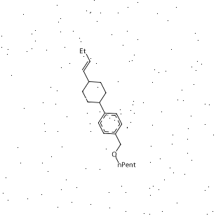 CC/C=C/C1CCC(c2ccc(COCCCCC)cc2)CC1